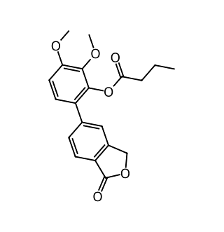 CCCC(=O)Oc1c(-c2ccc3c(c2)COC3=O)ccc(OC)c1OC